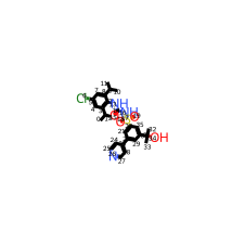 CC(C)c1cc(Cl)cc(C(C)C)c1NC(=O)NS(=O)(=O)c1cc(-c2ccncc2)cc(C(C)(C)O)c1